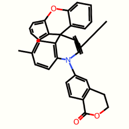 Cc1ccc2c(c1)C1(c3ccccc3Oc3ccccc31)c1cc(C)ccc1N2c1ccc2c(c1)CCOC2=O